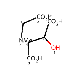 CNCC(=O)O.O=C(O)CC(O)C(=O)O